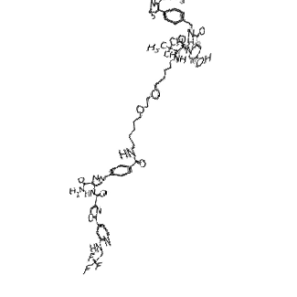 Cc1ncsc1-c1ccc(CNC(=O)[C@@H]2C[C@@H](O)CN2C(=O)[C@@H](NCCCCCOCCOCCCCCNC(=O)c2ccc(-n3cc(NC(=O)c4coc(-c5ccnc(NCC(F)(F)F)c5)n4)c(C(N)=O)n3)cc2)C(C)(C)C)cc1